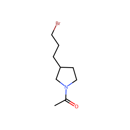 CC(=O)N1CCC(CCCBr)C1